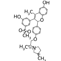 CC1=C(c2cc(O)cc(S(C)(=O)=O)c2)C(c2ccc(OC[C@H](C)N3CC[C@@H](C)C3)cc2)Oc2ccc(O)cc21